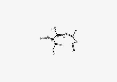 C=COC(C)=O.CCC(=O)C(=[N+]=[N-])C(=O)O